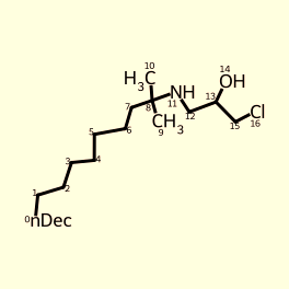 CCCCCCCCCCCCCCCCCC(C)(C)NCC(O)CCl